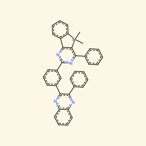 C[Si]1(C)c2ccccc2-c2nc(-c3cccc(-c4nc5ccccc5nc4-c4ccccc4)c3)nc(-c3ccccc3)c21